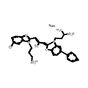 CCC(/C=C1\Oc2ccc(-c3ccccc3)cc2N1CCC(C)S(=O)(=O)O)=C\c1oc2ccc(Cl)cc2[n+]1CCCS(=O)(=O)O.[NaH]